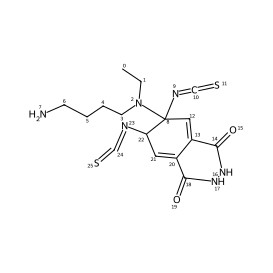 CCN(CCCCN)C1(N=C=S)C=c2c(=O)[nH][nH]c(=O)c2=CC1N=C=S